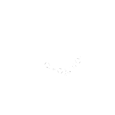 O=S(=O)(N=S1CCN(S(=O)(=O)c2ccc(Cl)cc2)CC1)c1ccc(NCc2ccccn2)cc1